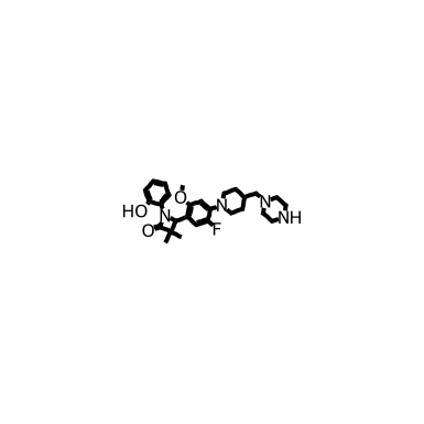 COc1cc(N2CCC(CN3CCNCC3)CC2)c(F)cc1C1N(c2ccccc2O)C(=O)C1(C)C